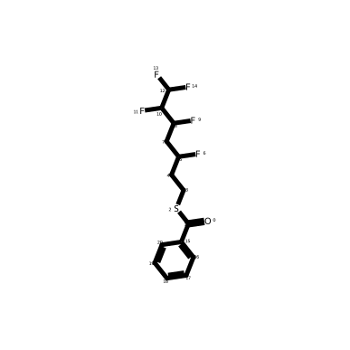 O=C(SCCC(F)CC(F)C(F)C(F)F)c1ccccc1